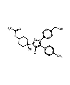 CC(=O)OC1CCC(O)(c2nn(-c3ccc(CO)cc3)c(-c3ccc(C)cc3)c2Cl)CC1